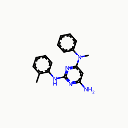 Cc1ccccc1Nc1nc(N)cc(N(C)c2ccccc2)n1